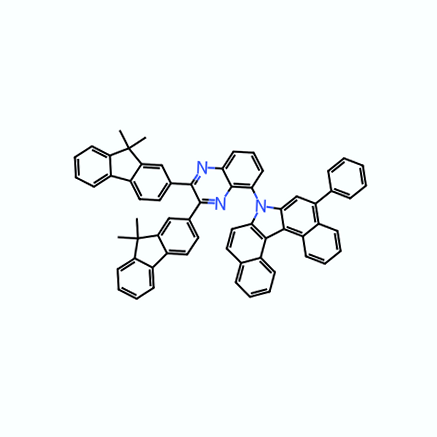 CC1(C)c2ccccc2-c2ccc(-c3nc4cccc(-n5c6ccc7ccccc7c6c6c7ccccc7c(-c7ccccc7)cc65)c4nc3-c3ccc4c(c3)C(C)(C)c3ccccc3-4)cc21